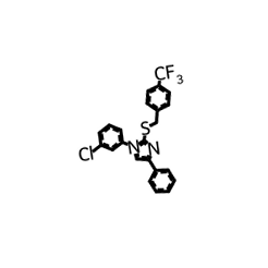 FC(F)(F)c1ccc(CSc2nc(-c3ccccc3)cn2-c2cccc(Cl)c2)cc1